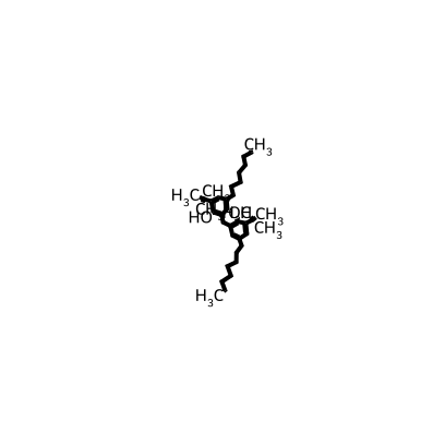 CCCCCCCCc1cc(Cc2cc(CCCCCCCC)cc(C(C)(C)C)c2O)c(O)c(C(C)(C)C)c1